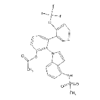 CC(=O)Oc1cccc(-c2ccccc2OC(F)(F)F)c1-n1ccc2c(NS(C)(=O)=O)cccc21